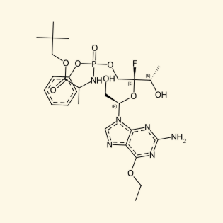 CCOc1nc(N)nc2c1ncn2[C@@H](CO)O[C@](F)(COP(=O)(NC(C)C(=O)OCC(C)(C)C)Oc1ccccc1)[C@H](C)O